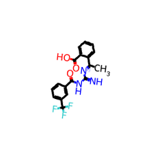 C/C(=N\C(=N)NC(=O)c1cccc(C(F)(F)F)c1)c1ccccc1C(=O)O